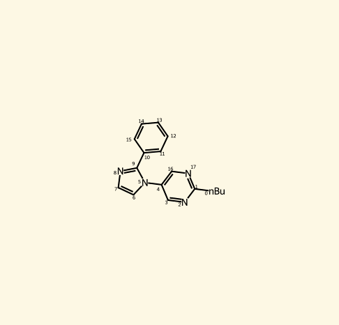 CCCCc1ncc(-n2ccnc2-c2ccccc2)cn1